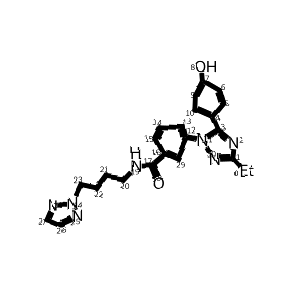 CCc1nc(-c2ccc(O)cc2)n(-c2cccc(C(=O)NCCCCn3nccn3)c2)n1